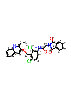 Cc1nc2ccccc2cc1OCc1c(Cl)ccc(NC(=O)CN2C(=O)c3ccccc3C2=O)c1Cl